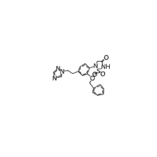 O=C1CN(c2ccc(CCn3cncn3)cc2OCc2ccccc2)S(=O)(=O)N1